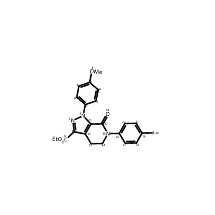 CCOC(=O)c1nn(-c2ccc(OC)cc2)c2c1CCN(c1ccc(I)cc1)C2=O